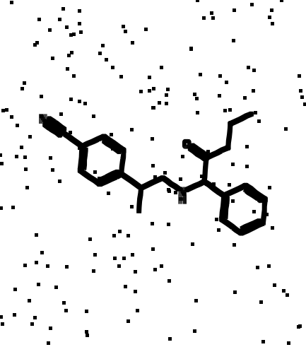 CCCC(=O)C(NCC(C)c1ccc(C#N)cc1)c1ccccc1